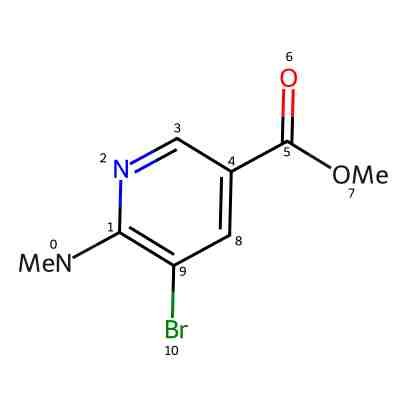 CNc1ncc(C(=O)OC)cc1Br